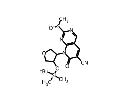 C[S+]([O-])c1ncc2cc(C#N)c(=O)n(C3COCC3O[Si](C)(C)C(C)(C)C)c2n1